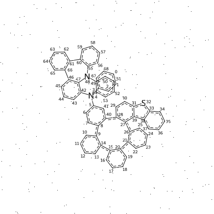 c1ccc(N(c2ccc3c4ccccc4c4ccccc4c4ccccc4c4c(ccc5sc6ccccc6c54)c3c2)c2cccc3c2N(c2ccccc2)c2ccccc2-c2ccccc2-3)cc1